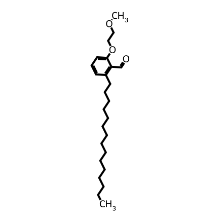 CCCCCCCCCCCCCCCc1cccc(OCCOC)c1C=O